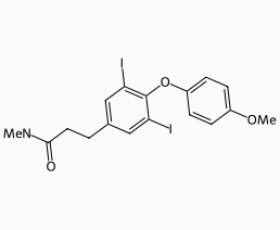 CNC(=O)CCc1cc(I)c(Oc2ccc(OC)cc2)c(I)c1